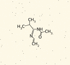 C=C/N=C(\NC(C)=O)C(C)C